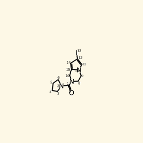 O=C(N1CCCC1)N1CCn2cc(I)cc2C1